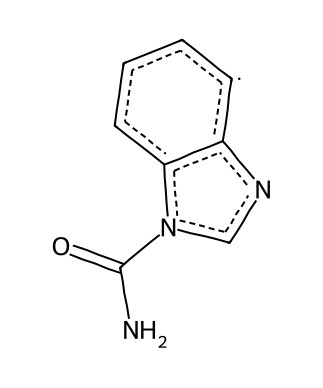 NC(=O)n1cnc2[c]cccc21